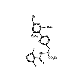 CCOC(=O)[C@H](Cc1ccc(-c2c(OC)cc(CBr)cc2OC)cc1)NC(=O)c1c(F)cccc1F